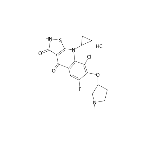 CN1CCC(Oc2c(F)cc3c(=O)c4c(=O)[nH]sc4n(C4CC4)c3c2Cl)C1.Cl